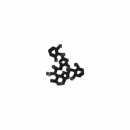 CN(C(=O)C=C1SC(Nc2c(Cl)cccc2Cl)=NC1=O)C(C(=O)O)=C1SC(Nc2c(Cl)cccc2Cl)=NC1=O